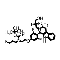 C[C@@H]1Cc2c([nH]c3ccccc23)[C@@H](c2c(F)cc(OCCN(CCCF)C(=O)OC(C)(C)C)cc2F)N1CC(F)(F)CO